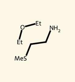 CCOCC.CSCCN